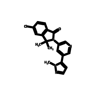 Cn1nccc1-c1cncc(N2C(=O)c3ccc(Cl)cc3C2(C)C)c1